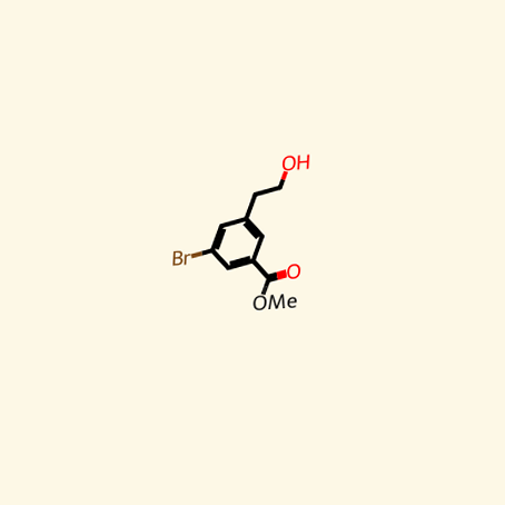 COC(=O)c1cc(Br)cc(CCO)c1